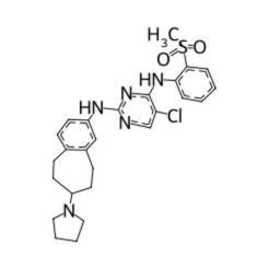 CS(=O)(=O)c1ccccc1Nc1nc(Nc2ccc3c(c2)CCC(N2CCCC2)CC3)ncc1Cl